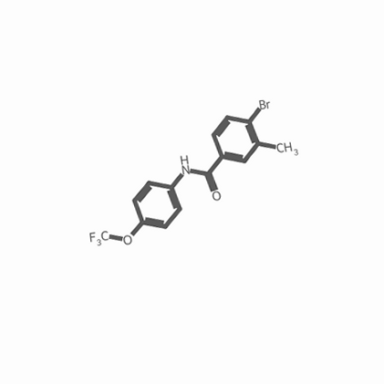 Cc1cc(C(=O)Nc2ccc(OC(F)(F)F)cc2)ccc1Br